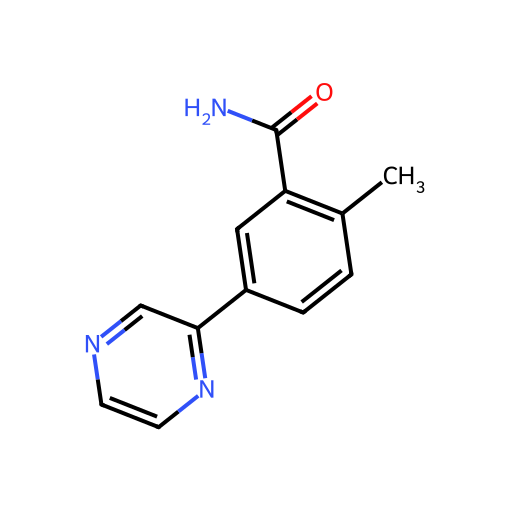 Cc1ccc(-c2cnccn2)cc1C(N)=O